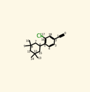 C#Cc1ccc(C2CC(C)(C)CC(C)(C)C2)c(Cl)c1